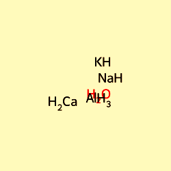 O.[AlH3].[CaH2].[KH].[NaH]